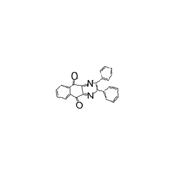 O=C1c2ccccc2C(=O)c2nc(-c3ccccc3)c(-c3ccccc3)nc21